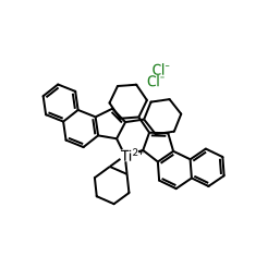 C1=C(C2CCCCC2)[CH]([Ti+2]2([CH]3C(C4CCCCC4)=Cc4c3ccc3ccccc43)[CH]3CCCC[CH]32)c2ccc3ccccc3c21.[Cl-].[Cl-]